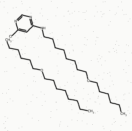 CCCCCCCCOCCCCCC.CCCCCCOCCCCCCCCNc1cc(Cl)ncn1